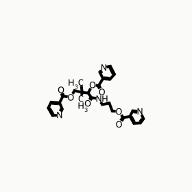 CC(C)(COC(=O)c1cccnc1)C(OC(=O)c1cccnc1)C(=O)NCCCOC(=O)c1cccnc1